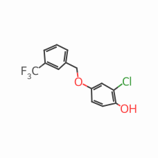 Oc1ccc(OCc2cccc(C(F)(F)F)c2)cc1Cl